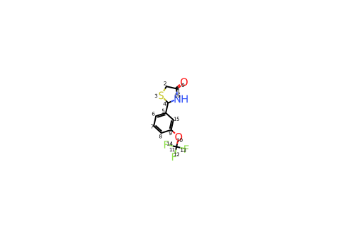 O=C1CSC(c2cccc(OC(F)(F)F)c2)N1